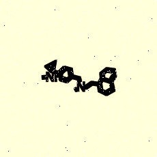 CNC1(c2ccc(CN(C)CCc3cccc4ccccc34)cc2)CC1